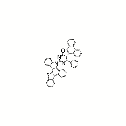 c1ccc(-c2nc(-n3c4ccccc4c4c5sc6ccccc6c5c5ccccc5c43)nc3oc4c5ccccc5c5ccccc5c4c23)cc1